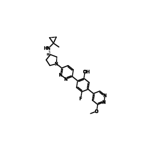 COc1cc(-c2cc(O)c(-c3ccc(N4CC[C@H](NC5(C)CC5)C4)nn3)cc2F)cnn1